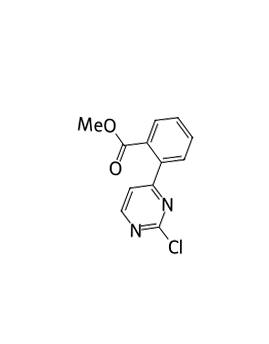 COC(=O)c1ccccc1-c1ccnc(Cl)n1